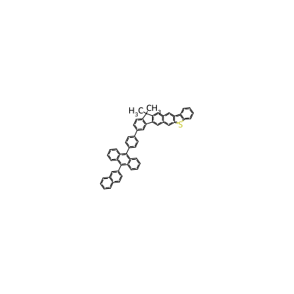 CC1(C)c2ccc(-c3ccc(-c4c5ccccc5c(-c5ccc6ccccc6c5)c5ccccc45)cc3)cc2-c2cc3cc4sc5ccccc5c4cc3cc21